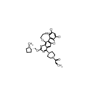 C=CC(=O)N1CCN(c2nc(OC[C@@H]3CCCN3C)nc3c4c(c(Cl)cc23)-c2c(I)c(Cl)cc(Cl)c2NCCO4)CC1